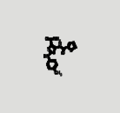 Cc1ccc(Nc2nc(C(N)=O)c(NC(=O)c3cccs3)s2)cc1